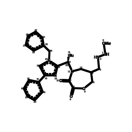 COBNCC1COC(=O)C(=O)N([C@@H](c2nc(-c3ccccc3)cn2Cc2ccccc2)C(C)(C)C)C1